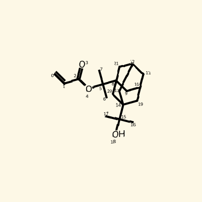 C=CC(=O)OC(C)(C)C12CC3CC(CC(C(C)(C)O)(C3)C1)C2